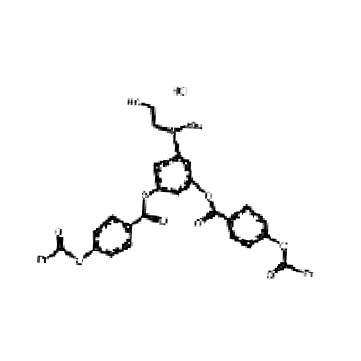 CC(C)C(=O)Oc1ccc(C(=O)Oc2cc(OC(=O)c3ccc(OC(=O)C(C)C)cc3)cc(N(CCO)C(C)(C)C)c2)cc1.Cl